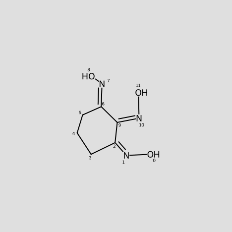 O/N=C1/CCCC(=N\O)/C1=N\O